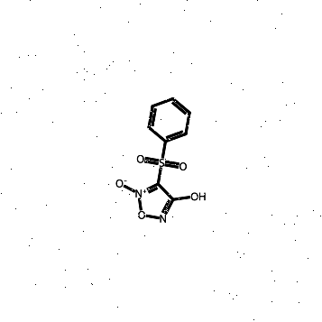 O=S(=O)(c1ccccc1)c1c(O)no[n+]1[O-]